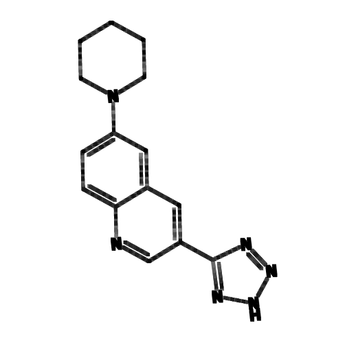 c1nc2ccc(N3CCCCC3)cc2cc1-c1nn[nH]n1